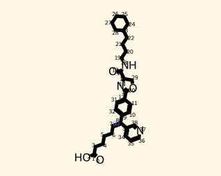 O=C(O)CCCC/C=C(/c1ccc(C2=NC(C(=O)NCCCCC3CCCCC3)CO2)cc1)c1cccnc1